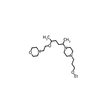 CCOCCCN1CCN(C(C)CCC(C)OCCN2CCOCC2)CC1